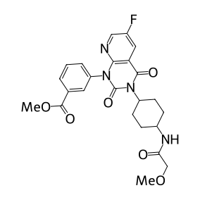 COCC(=O)NC1CCC(n2c(=O)c3cc(F)cnc3n(-c3cccc(C(=O)OC)c3)c2=O)CC1